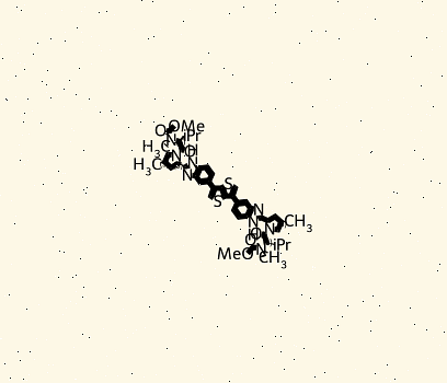 COC(=O)N(C)[C@H](C(=O)N1C[C@@H](C)CC1c1nc2cc(-c3csc4c(-c5ccc6[nH]c([C@@H]7C[C@H](C)CN7C(=O)[C@H](C(C)C)N(C)C(=O)OC)nc6c5)csc34)ccc2[nH]1)C(C)C